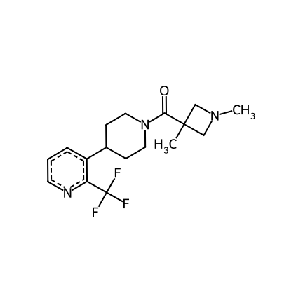 CN1CC(C)(C(=O)N2CCC(c3cccnc3C(F)(F)F)CC2)C1